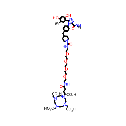 CCNC(=O)c1nnc(-c2cc(C(C)C)c(O)cc2O)n1-c1ccc(CC2CCN(C(=O)NCCOCCOCCOCCOCCNC(=O)CC[C@H](C(=O)O)N3CCN(CC(=O)O)CCN(CC(=O)O)CCN(CC(=O)O)CC3)CC2)cc1